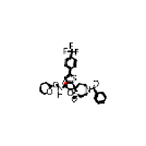 O=C(CC1(c2ccc(-c3ccc(C(F)(F)F)cc3)s2)CCN(C(=O)c2ccccc2)CCS1(=O)=O)NOC1CCCCO1